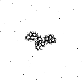 O=P(c1ccccc1)(c1cccc(-c2ccc3ccc4cccc5ccc2c3c45)c1)c1cccc(-c2ccc3ccc4cccc5ccc2c3c45)c1